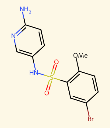 COc1ccc(Br)cc1S(=O)(=O)Nc1ccc(N)nc1